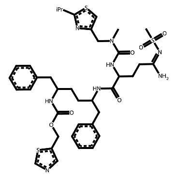 CC(C)c1nc(CN(C)C(=O)NC(CC/C(N)=N\S(C)(=O)=O)C(=O)NC(CCC(Cc2ccccc2)NC(=O)OCc2cncs2)Cc2ccccc2)cs1